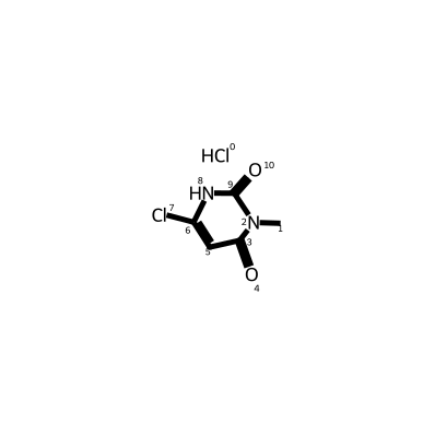 Cl.Cn1c(=O)cc(Cl)[nH]c1=O